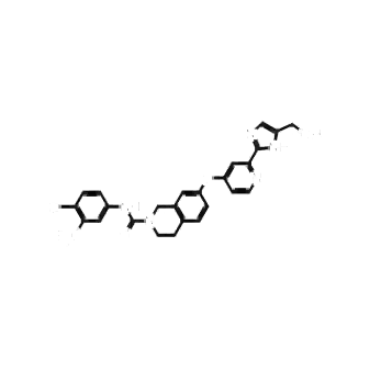 O=C(Nc1ccc(Cl)c(C(F)(F)F)c1)N1CCc2ccc(Oc3ccnc(-c4ncc(CO)[nH]4)c3)cc2C1